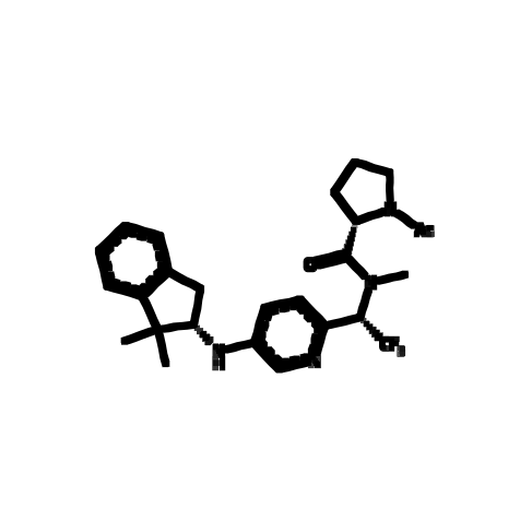 CC(=O)N1CCC[C@H]1C(=O)N(C)[C@@H](c1ccc(N[C@H]2Cc3ccccc3C2(C)C)cn1)C(F)(F)F